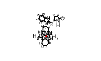 C[C@@H]1C[C@H](C)[C@H]2C[C@@H](n3c(C[C@@H]4CCC(=O)N4)nc4ccccc43)C[C@@H]1N2[C@@H]1C[C@@H]2CCCC[C@@H](C2)C1